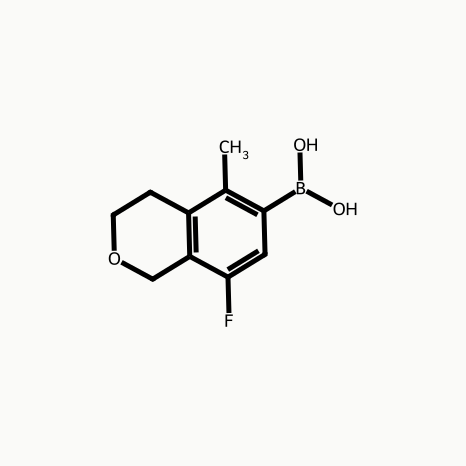 Cc1c(B(O)O)cc(F)c2c1CCOC2